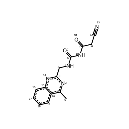 Cc1nc(CNC(=O)NC(=O)CC#N)nc2ccccc12